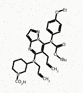 C=CCc1c(N(CC=C)C2CCCN(C(=O)O)C2)nc2ccnn2c1N(C(=O)OC(C)(C)C)c1ccc(OCC)cc1